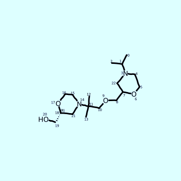 CC(C)N1CCOC(COCC(C)(C)N2CCO[C@@H](CO)C2)C1